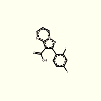 O=C(O)c1c(-c2ccc(F)cc2F)nn2cccnc12